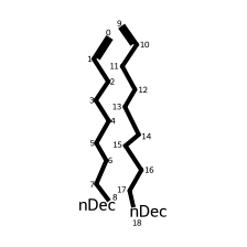 C=CCCCCCCCCCCCCCCCC.C=CCCCCCCCCCCCCCCCCC